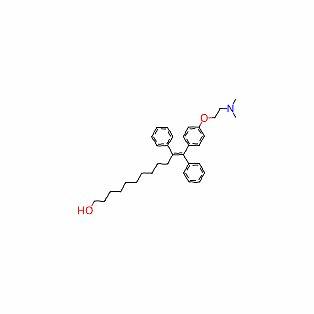 CN(C)CCOc1ccc(/C(=C(/CCCCCCCCCCO)c2ccccc2)c2ccccc2)cc1